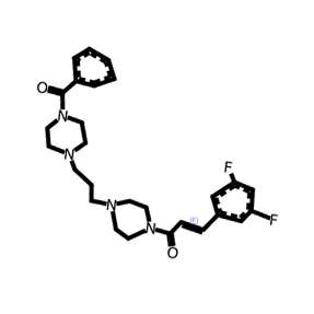 O=C(/C=C/c1cc(F)cc(F)c1)N1CCN(CCCN2CCN(C(=O)c3ccccc3)CC2)CC1